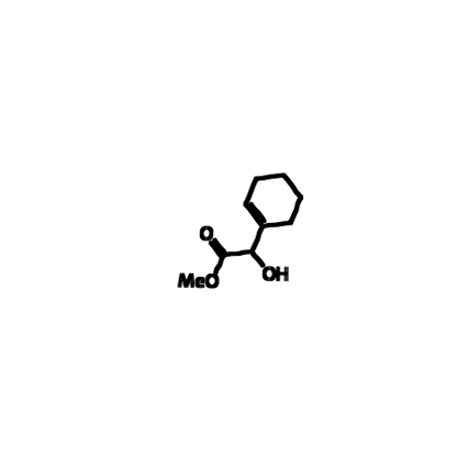 COC(=O)C(O)C1=CCCCC1